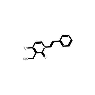 CC(=O)OCc1c(C)ccn(C=Cc2ccccc2)c1=O